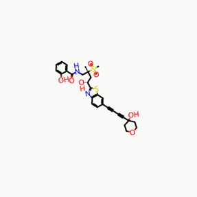 C[C@](CNC(=O)c1ccccc1O)(C[C@@H](O)c1nc2ccc(C#CC#CC3(O)CCOCC3)cc2s1)S(C)(=O)=O